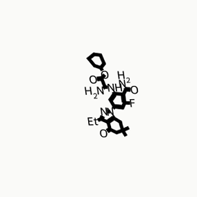 CCc1nn(-c2cc(F)c(C(N)=O)c(NC(N)C(=O)OC3CCCCC3)c2)c2c1C(=O)CC(C)(C)C2